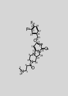 CN(C)CCC(=O)N1CCN2c3cc(OCc4ccc(F)c(F)c4)nc(=O)n3CC2C1